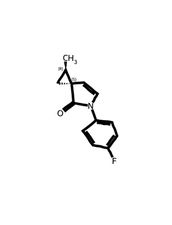 C[C@@H]1C[C@@]12C=CN(c1ccc(F)cc1)C2=O